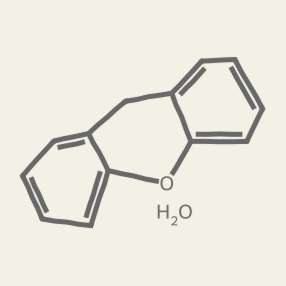 O.c1ccc2c(c1)Cc1ccccc1O2